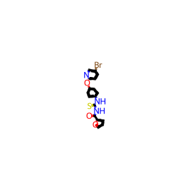 O=C(NC(=S)Nc1ccc(Oc2ccc(Br)cn2)cc1)c1ccco1